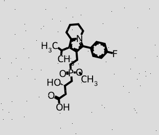 COP(=O)(CCc1c(C(C)C)c2n(c1-c1ccc(F)cc1)CCCC2)C[C@@H](O)CC(=O)O